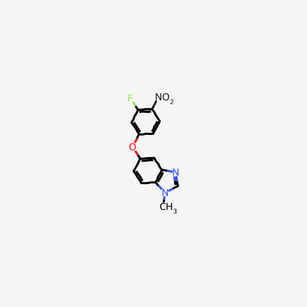 Cn1cnc2cc(Oc3ccc([N+](=O)[O-])c(F)c3)ccc21